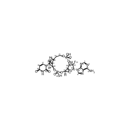 Nc1ncnc2c1ncn2[C@@H]1OC23C[C@H]2OP(=O)(S)O[C@@H]2[C@H](F)[C@@H](CCOP(=O)(O)O[C@H]3[C@H]1F)O[C@H]2n1ccc(=O)[nH]c1=O